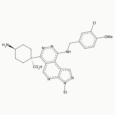 CCn1ncc2c3c(NCc4ccc(OC)c(Cl)c4)nnc([C@]4(C(=O)O)CC[C@H](N)CC4)c3cnc21